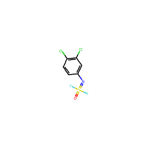 O=S(F)(F)=Nc1ccc(Cl)c(Cl)c1